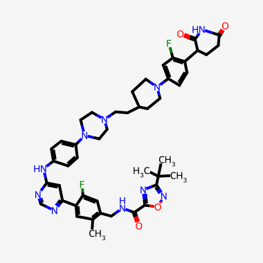 Cc1cc(-c2cc(Nc3ccc(N4CCN(CCC5CCN(c6ccc(C7CCC(=O)NC7=O)c(F)c6)CC5)CC4)cc3)ncn2)c(F)cc1CNC(=O)c1nc(C(C)(C)C)no1